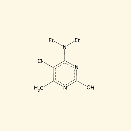 CCN(CC)c1nc(O)nc(C)c1Cl